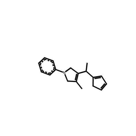 CC1=C(C(C)C2=CC=CC2)CN(c2ccccc2)C1